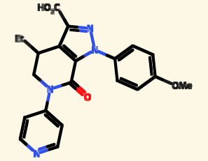 CCC1CN(c2ccncc2)C(=O)c2c1c(C(=O)O)nn2-c1ccc(OC)cc1